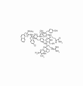 CC(=O)N[C@H](Cc1ccc2ccccc2c1)C(=O)N[C@H](Cc1ccc(Cl)cc1)C(=O)N[C@H](Cc1cccnc1)C(=O)N[C@H](CO)C(=O)N[C@@H](Cc1ccc(O)cc1)C(=O)N[C@H](CCCNC(N)=O)C(=O)N[C@@H](CC(C)C)C(=O)N[C@@H](CCCNC(=N)N)C(=O)N1CCC[C@@H]1C(=O)N[C@H](C)C(N)=O